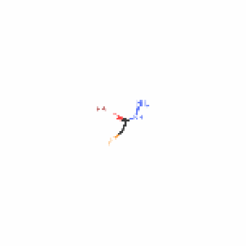 Br.NNC(=O)CP